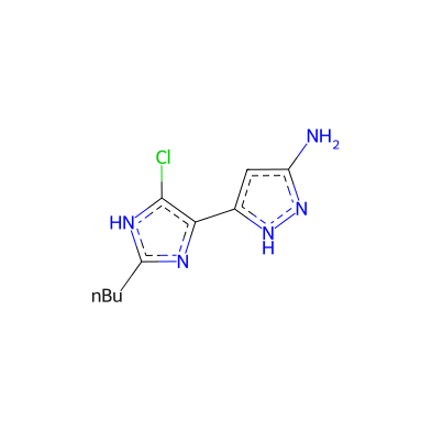 CCCCc1nc(-c2cc(N)n[nH]2)c(Cl)[nH]1